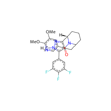 COc1cc(C(=O)N2C3CCC[C@H]2c2nn(C)c(-c4cc(F)c(F)c(F)c4)c2C3)cnc1OC